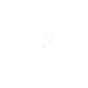 CCOC(=O)C1(C(=O)OCC)CC1c1ccc(F)cc1